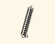 OC(F)(F)C(F)(F)C(F)(F)C(F)(F)C(F)(F)C(F)(F)C(F)(F)C(F)(F)C(F)(F)C(F)(F)C(F)(F)C(F)(F)C(F)(F)C(F)(F)F